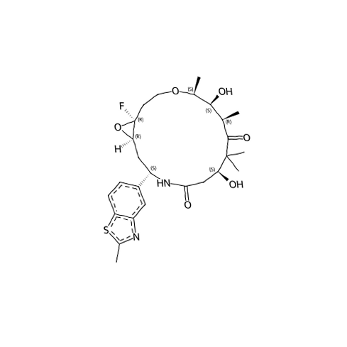 Cc1nc2cc([C@@H]3C[C@H]4O[C@@]4(F)CCO[C@@H](C)[C@@H](O)[C@@H](C)C(=O)C(C)(C)[C@@H](O)CC(=O)N3)ccc2s1